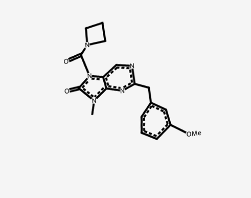 COc1cccc(Cc2ncc3c(n2)n(C)c(=O)n3C(=O)N2CCC2)c1